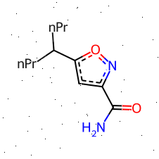 CCCC(CCC)c1cc(C(N)=O)no1